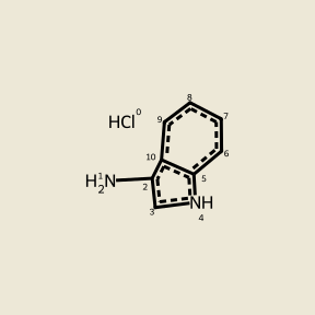 Cl.Nc1c[nH]c2ccccc12